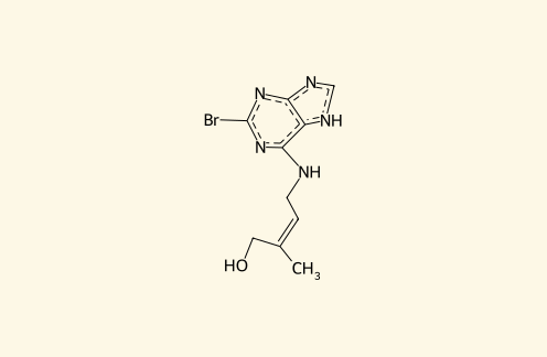 CC(=CCNc1nc(Br)nc2nc[nH]c12)CO